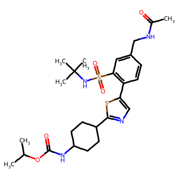 CC(=O)NCc1ccc(-c2cnc(C3CCC(NC(=O)OC(C)C)CC3)s2)c(S(=O)(=O)NC(C)(C)C)c1